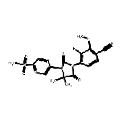 COc1c(C#N)ccc(N2C(=O)C(C)(C)N(c3ccc(S(C)(=O)=O)nc3)C2=S)c1F